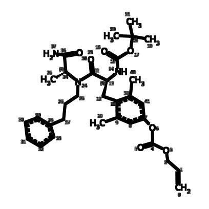 C=CCOC(=O)Oc1cc(C)c(C[C@H](NC(=O)OC(C)(C)C)C(=O)N(CCCc2ccccc2)[C@H](C)C(N)=O)c(C)c1